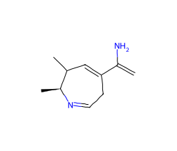 C=C(N)C1=CC(C)[C@H](C)N=CC1